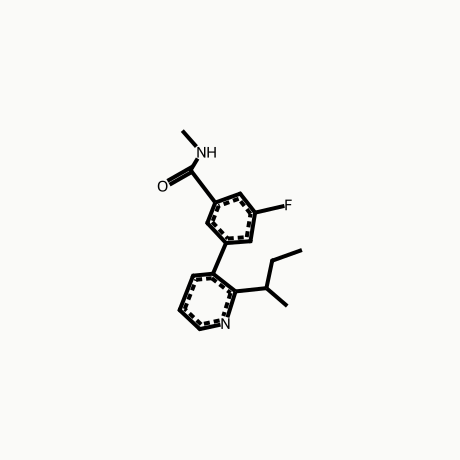 CCC(C)c1ncccc1-c1cc(F)cc(C(=O)NC)c1